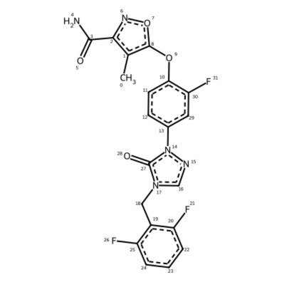 Cc1c(C(N)=O)noc1Oc1ccc(-n2ncn(Cc3c(F)cccc3F)c2=O)cc1F